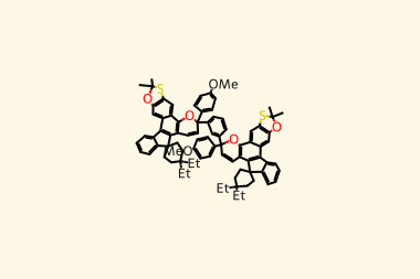 CCC1(CC)CCC2(CC1)c1ccccc1-c1c2c2c(c3cc4c(cc13)OC(C)(C)S4)OC(c1ccc(OC)cc1)(c1cccc(C3(c4ccc(OC)cc4)C=Cc4c5c(c6cc7c(cc6c4O3)SC(C)(C)O7)-c3ccccc3C53CCC(CC)(CC)CC3)c1)C=C2